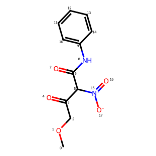 COCC(=O)C(C(=O)Nc1ccccc1)[N+](=O)[O-]